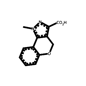 Cn1nc(C(=O)O)c2c1-c1ccccc1OC2